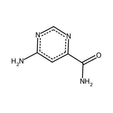 NC(=O)c1cc(N)ncn1